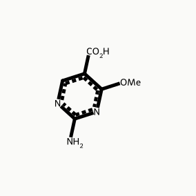 COc1nc(N)ncc1C(=O)O